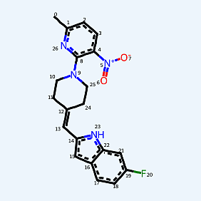 Cc1ccc([N+](=O)[O-])c(N2CCC(=Cc3cc4ccc(F)cc4[nH]3)CC2)n1